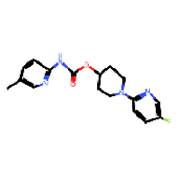 Cc1ccc(NC(=O)OC2CCN(c3ccc(F)cn3)CC2)nc1